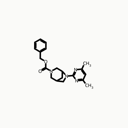 Cc1cc(C)nc(N2CC3CC2CN(C(=O)OCc2ccccc2)C3)n1